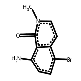 Cn1ccc2c(Br)ccc(N)c2c1=O